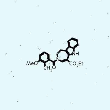 CCOC(=O)C1=CN(C(=O)c2cccc(OC)c2C)CCc2c1[nH]c1ccccc21